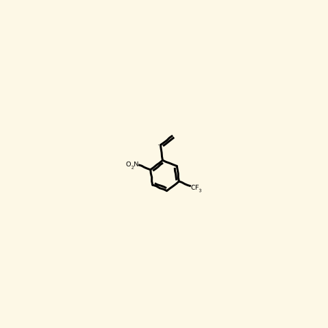 C=[C]c1cc(C(F)(F)F)ccc1[N+](=O)[O-]